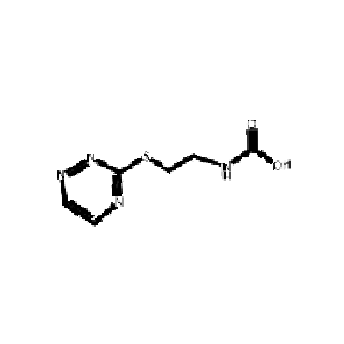 O=C(O)NCCSc1nccnn1